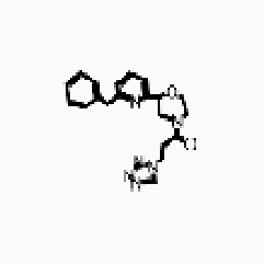 O=C(CCn1cnnn1)N1CCOC(c2cccc(Cc3ccccc3)n2)C1